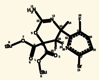 CC(C)(C)OC(=O)C1(C(=O)OC(C)(C)C)OC(N)=NC(C)(c2nc(Br)ccc2F)C1(F)F